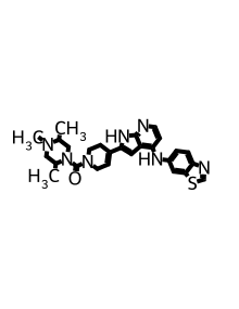 CC1CN(C(=O)N2CC=C(c3cc4c(Nc5ccc6ncsc6c5)ccnc4[nH]3)CC2)C(C)CN1C